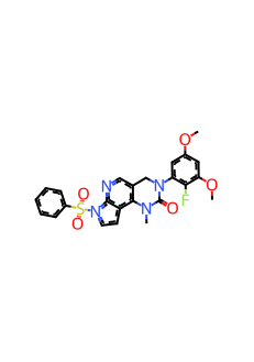 COc1cc(OC)c(F)c(N2Cc3cnc4c(ccn4S(=O)(=O)c4ccccc4)c3N(C)C2=O)c1